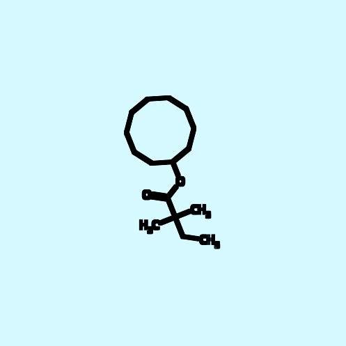 CCC(C)(C)C(=O)OC1CCCCCCCCC1